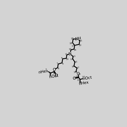 CCCCCCCCC(CCCCCC)C(=O)OCCCCCCN(CCCCCCOC(=O)C(CCCCCC)CCCCCCCC)CCC1CCNCC1